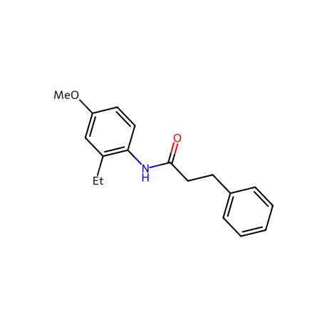 CCc1cc(OC)ccc1NC(=O)CCc1ccccc1